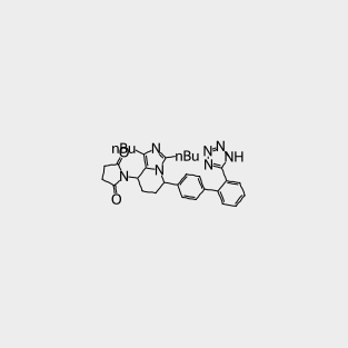 CCCCc1nc(CCCC)n2c1C(N1C(=O)CCC1=O)CCC2c1ccc(-c2ccccc2-c2nnn[nH]2)cc1